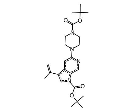 C=C(C)c1cn(C(=O)OC(C)(C)C)c2cnc(N3CCN(C(=O)OC(C)(C)C)CC3)cc12